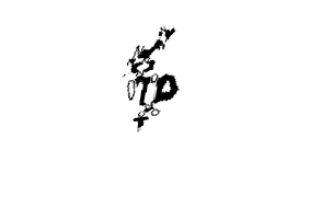 Cc1nsc(-c2nnc3n2CCN(C(=O)C2CN(C(=O)OC(C)(C)C)c4ccccc4O2)[C@@H]3C)n1